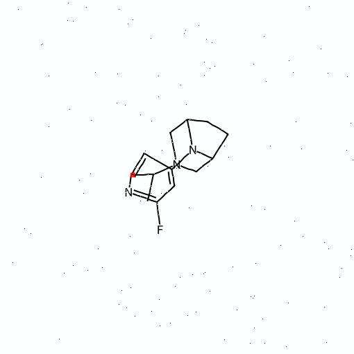 CC(C)N1CC2CCC(C1)N2c1ccnc(F)c1